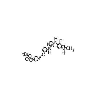 Cc1cc2c(F)c(Nc3ccnc(Nc4cccc(OCCN5CCN(OC(=O)OC(C)(C)C)CC5)c4)n3)ccc2[nH]1